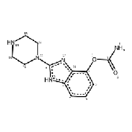 NC(=O)Oc1cccc2[nH]c(N3CCNCC3)nc12